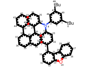 CC(C)(C)c1cc(N(c2ccc(-c3cccc4oc5ccccc5c34)cc2)c2ccccc2-c2cccc3cccc(-c4ccccc4)c23)cc(C(C)(C)C)c1